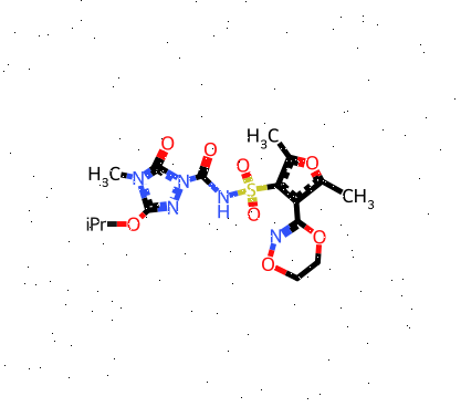 Cc1oc(C)c(S(=O)(=O)NC(=O)n2nc(OC(C)C)n(C)c2=O)c1C1=NOCCO1